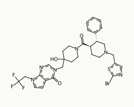 O=C([C@@H]1CCN(Cc2cnc(Br)s2)C[C@H]1c1ccccc1)N1CCC(O)(Cn2cnc3c(ccn3CC(F)(F)F)c2=O)CC1